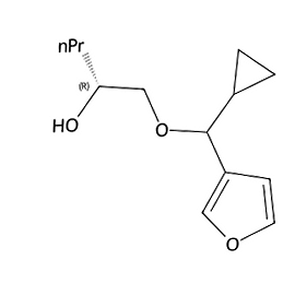 CCC[C@@H](O)COC(c1ccoc1)C1CC1